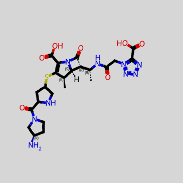 C[C@@H](NC(=O)Cn1nnnc1C(=O)O)[C@H]1C(=O)N2C(C(=O)O)=C(SC3CNC(C(=O)N4CC[C@@H](N)C4)C3)[C@H](C)[C@H]12